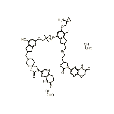 CC(C)(N)COc1cc(C#N)c2c(c1)CC(CN1CCC3(CC1)CN(c1cnc4c(n1)NC(=O)CO4)C(=O)O3)C2.NC1(COc2cc(F)c3c(c2F)CC(CNCCC2CN(c4cnc5c(n4)NC(=O)CO5)C(=O)O2)C3)CC1.O=CO.O=CO